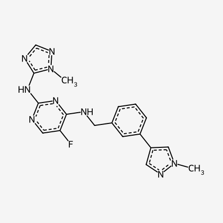 Cn1cc(-c2cccc(CNc3nc(Nc4ncnn4C)ncc3F)c2)cn1